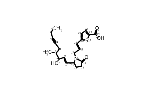 CCC#CC[C@H](C)[C@H](O)C=CC1CCC(=O)N1CC=Cc1ccc(C(=O)O)s1